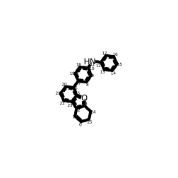 C1=Cc2c(oc3c(-c4ccc(Nc5ccccc5)cc4)cccc23)CC1